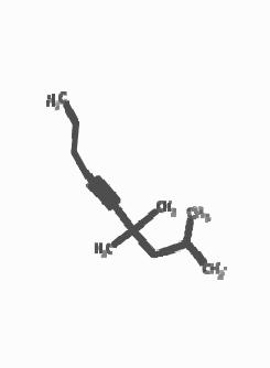 [CH2]C(C)CC(C)(C)C#CCCC